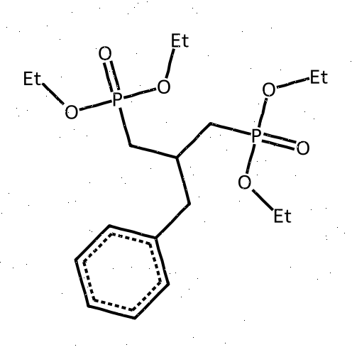 CCOP(=O)(CC(Cc1ccccc1)CP(=O)(OCC)OCC)OCC